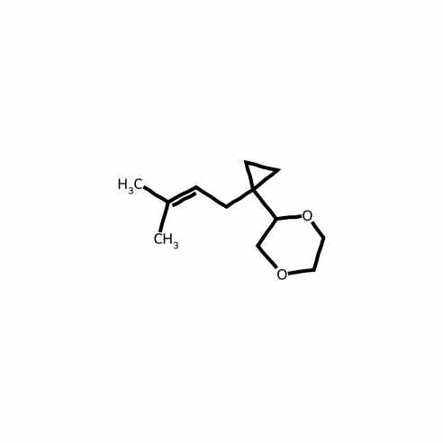 CC(C)=CCC1(C2COCCO2)CC1